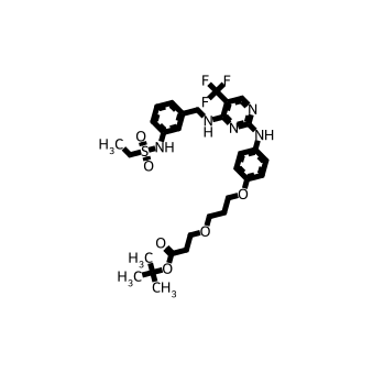 CCS(=O)(=O)Nc1cccc(CNc2nc(Nc3ccc(OCCCOCCC(=O)OC(C)(C)C)cc3)ncc2C(F)(F)F)c1